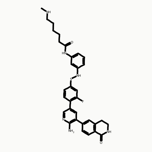 CNCCCCCC(=O)Nc1cccc(NSc2ccc(-c3cnc(N)c(-c4ccc5c(c4)CCNC5=O)c3)c(F)c2)c1